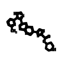 Cc1cccc(-c2[nH]cnc2-c2ccc3ncc(-c4cnc(C(=O)OC5CCNCC5)s4)cc3c2)n1